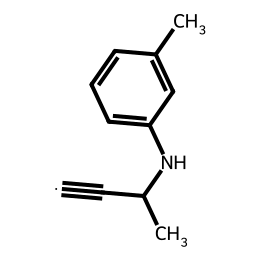 [C]#CC(C)Nc1cccc(C)c1